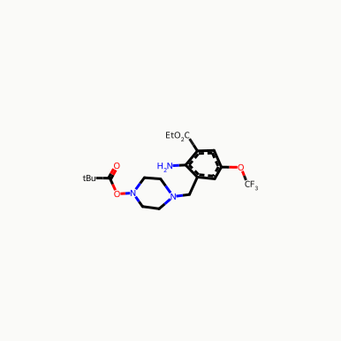 CCOC(=O)c1cc(OC(F)(F)F)cc(CN2CCN(OC(=O)C(C)(C)C)CC2)c1N